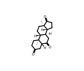 C[C@@]12CCC(=O)C[C@H]1C(=O)C[C@H]1[C@H]2CC[C@@]2(C)C(=O)CC[C@H]12